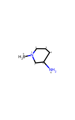 BN1CCCC(N)C1